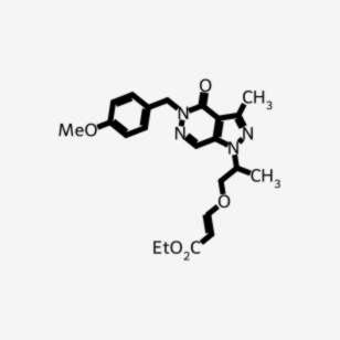 CCOC(=O)/C=C/OCC(C)n1nc(C)c2c(=O)n(Cc3ccc(OC)cc3)ncc21